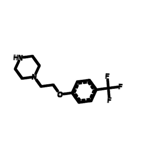 FC(F)(F)c1ccc(OCCN2CCNCC2)cc1